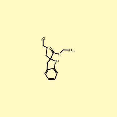 CCOC(=O)C1(CCCCl)Cc2ccccc2N1